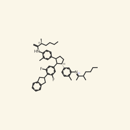 C=C(Nc1ccc(C2CC[C@H](c3ccc(C)c(/N=C(\C)C(C)CCCC)c3)C2c2cc(F)c(C3Cc4ccccc4C3)c(F)c2)cc1C)[C@@H](C)CCCC